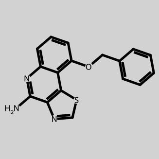 Nc1nc2cccc(OCc3ccccc3)c2c2scnc12